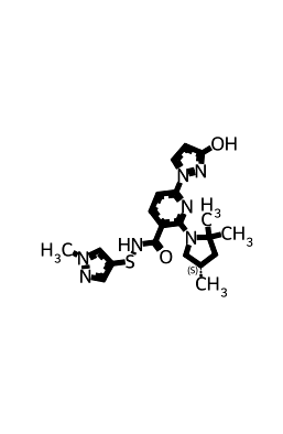 C[C@@H]1CN(c2nc(-n3ccc(O)n3)ccc2C(=O)NSc2cnn(C)c2)C(C)(C)C1